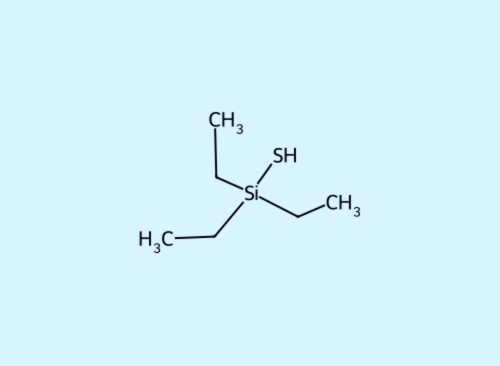 CC[Si](S)(CC)CC